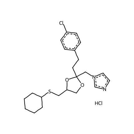 Cl.Clc1ccc(CCC2(Cn3ccnc3)OCC(CSC3CCCCC3)O2)cc1